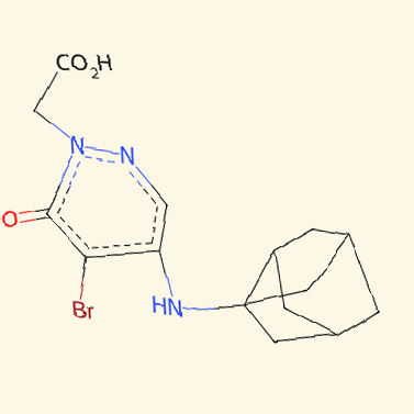 O=C(O)Cn1ncc(NC23CC4CC(CC2C4)C3)c(Br)c1=O